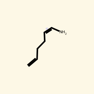 C=CCC/C=C\N